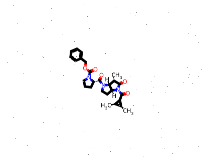 C[C@@H]1C(=O)N(C(=O)C2[C@@H](C)[C@H]2C)[C@H]2CCN(C(=O)[C@@H]3CCCN3C(=O)OCc3ccccc3)[C@H]12